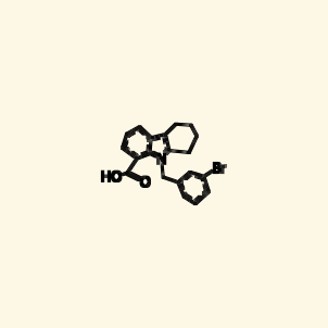 O=C(O)c1cccc2c3c(n(Cc4cccc(Br)c4)c12)CCCC3